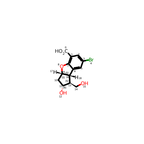 O=C(O)c1cc(Br)cc2c1O[C@H]1C[C@@H](O)[C@H](CO)[C@@H]21